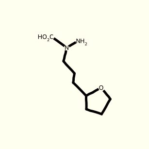 NN(CCCC1CCCO1)C(=O)O